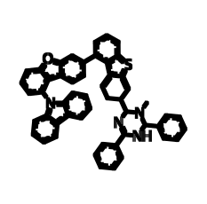 CN1C(c2ccccc2)NC(c2ccccc2)=NC1C1C=c2sc3cccc(-c4ccc5c(c4)oc4cccc(-n6c7ccccc7c7ccccc76)c45)c3c2=CC1